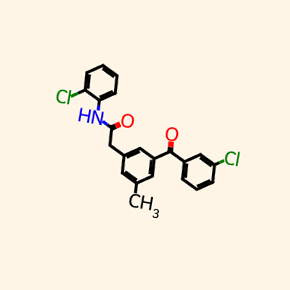 Cc1cc(CC(=O)Nc2ccccc2Cl)cc(C(=O)c2cccc(Cl)c2)c1